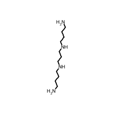 NCCCCNCCCNCCCCN